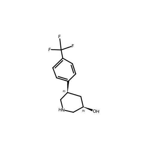 O[C@H]1CNC[C@@H](c2ccc(C(F)(F)F)cc2)C1